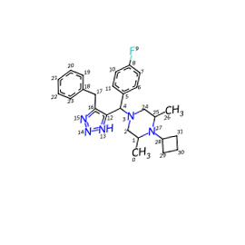 CC1CN(C(c2ccc(F)cc2)c2[nH]nnc2Cc2ccccc2)CC(C)N1C1CCC1